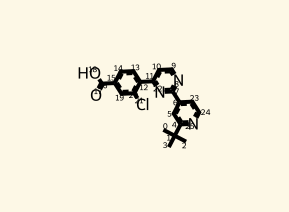 CC(C)(C)c1cc(-c2nccc(-c3ccc(C(=O)O)cc3Cl)n2)ccn1